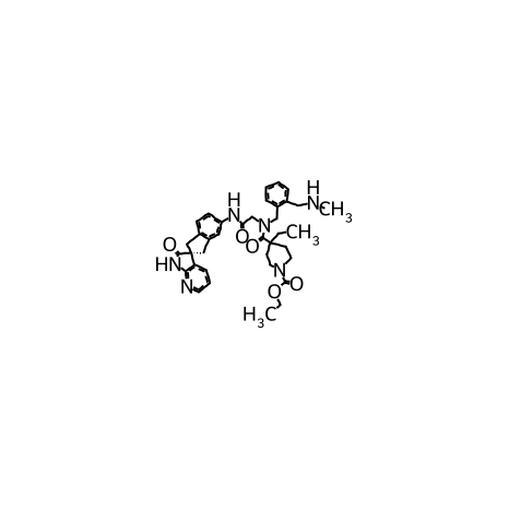 CCOC(=O)N1CCC(CC)(C(=O)N(CC(=O)Nc2ccc3c(c2)C[C@@]2(C3)C(=O)Nc3ncccc32)Cc2ccccc2CNC)CC1